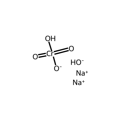 [Na+].[Na+].[OH-].[O]=[Cr](=[O])([O-])[OH]